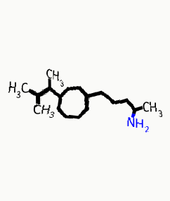 CC(N)CCCC1CCCCC(C(C)C(C)C)CC1